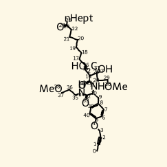 CC#CCOc1ccc(C[C@H](NC(=O)[C@@H](/C=C/CCCCCCC(=O)CCCCCCC)[C@@](O)(CCOC)C(=O)O)C(=O)NCCCOC)cc1